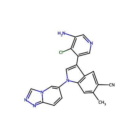 Cc1cc2c(cc1C#N)c(-c1cncc(N)c1Cl)cn2-c1ccc2nncn2c1